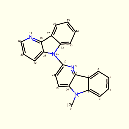 CC(C)n1c2ccccc2c2nc(-n3c4ccccc4c4ncccc43)ccc21